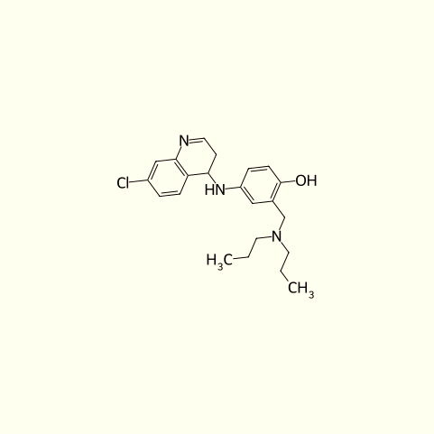 CCCN(CCC)Cc1cc(NC2CC=Nc3cc(Cl)ccc32)ccc1O